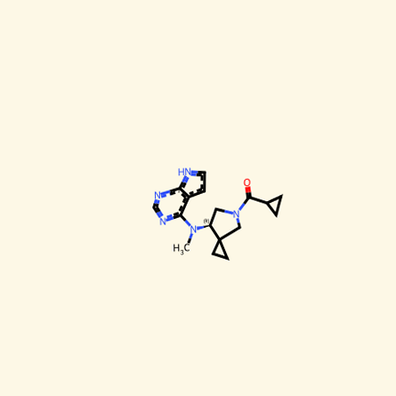 CN(c1ncnc2[nH]ccc12)[C@H]1CN(C(=O)C2CC2)CC12CC2